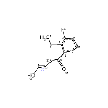 CCc1c(F)cccc1C(=O)S/C=C/O